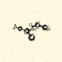 CN(C)[C@H]1C[C@H](n2cc(NC(=O)c3csc(-c4cn[nH]c4)n3)c(-c3ccccn3)n2)C1